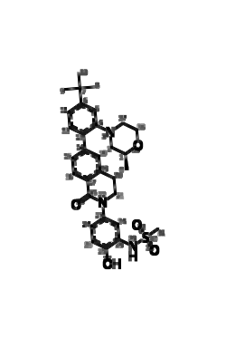 C[C@H]1CN(c2cc(C(C)(C)C)ccc2-c2ccc3c(c2)CCN(c2ccc(O)c(NS(C)(=O)=O)c2)C3=O)CCO1